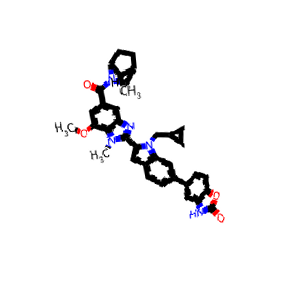 COc1cc(C(=O)N2CC3CCC2[C@@H]3C)cc2nc(-c3cc4ccc(-c5ccc6oc(=O)[nH]c6c5)cc4n3CC3CC3)n(C)c12